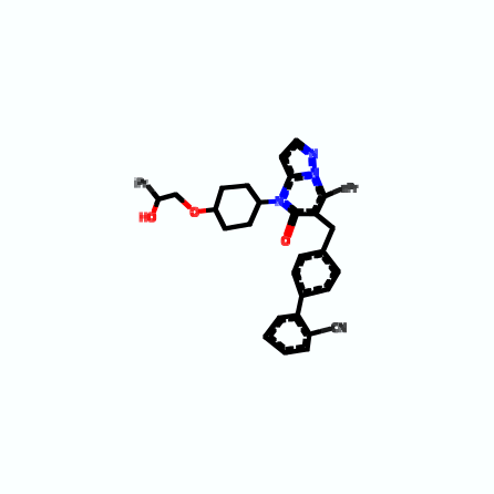 CCCc1c(Cc2ccc(-c3ccccc3C#N)cc2)c(=O)n(C2CCC(OCC(O)C(C)C)CC2)c2ccnn12